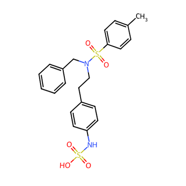 Cc1ccc(S(=O)(=O)N(CCc2ccc(NS(=O)(=O)O)cc2)Cc2ccccc2)cc1